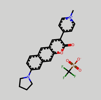 C[n+]1ccc(-c2cc3cc4ccc(N5CCCC5)cc4cc3oc2=O)cc1.O=S(=O)([O-])C(F)(F)F